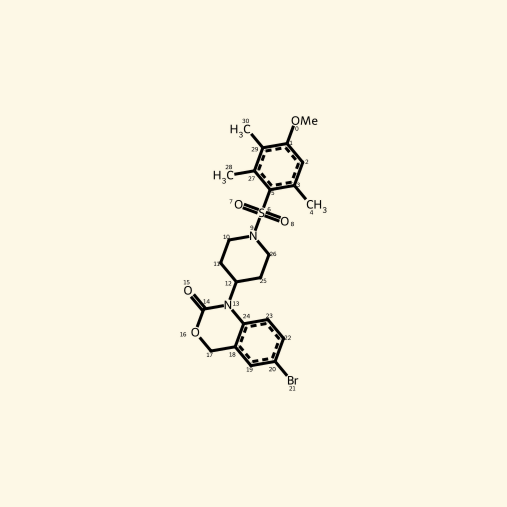 COc1cc(C)c(S(=O)(=O)N2CCC(N3C(=O)OCc4cc(Br)ccc43)CC2)c(C)c1C